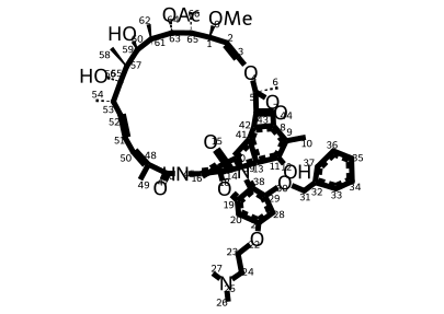 CO[C@H]1/C=C/O[C@@]2(C)Oc3c(C)c(O)c4c(=O)c(c5oc6cc(OCCN(C)C)cc(OCc7ccccc7)c6nc-5c4c3C2=O)NC(=O)/C(C)=C\C=C\[C@H](C)[C@H](O)[C@@H](C)[C@@H](O)[C@@H](C)[C@H](OC(C)=O)[C@@H]1C